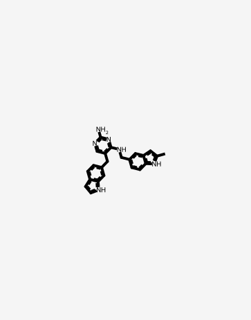 Cc1cc2cc(CNc3nc(N)ncc3Cc3ccc4cc[nH]c4c3)ccc2[nH]1